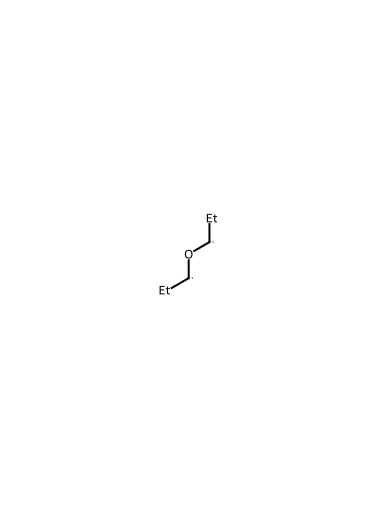 [CH2]C[CH]O[CH]C[CH2]